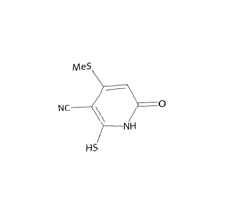 CSc1cc(=O)[nH]c(S)c1C#N